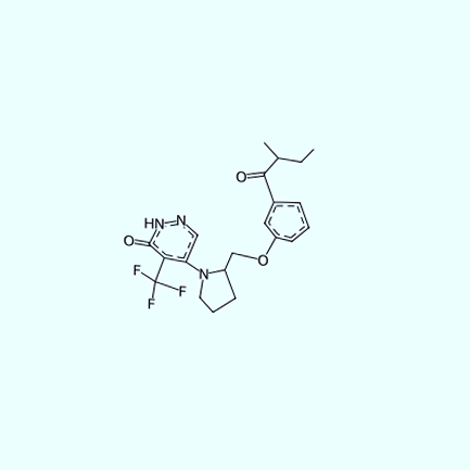 CCC(C)C(=O)c1cccc(OCC2CCCN2c2cn[nH]c(=O)c2C(F)(F)F)c1